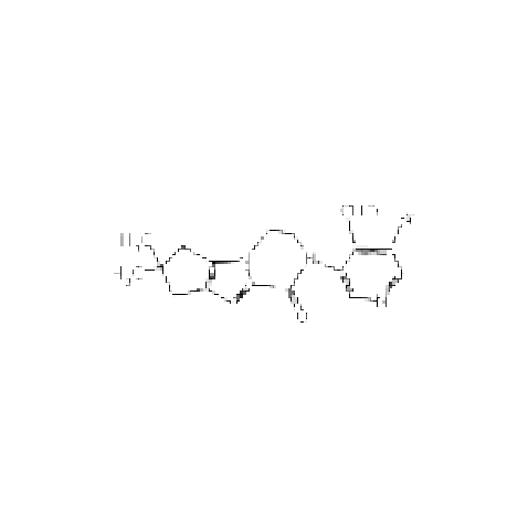 CC1(C)Cc2cc3n(c2C1)CCN(c1cncc(Br)c1C=O)C3=O